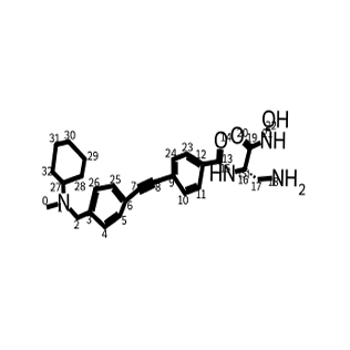 CN(Cc1ccc(C#Cc2ccc(C(=O)N[C@@H](CN)C(=O)NO)cc2)cc1)C1CCCCC1